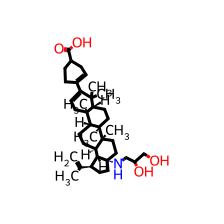 C=C(C)[C@@H]1CC[C@]2(NCC(O)CO)CC[C@]3(C)[C@H](CC[C@@H]4[C@@]5(C)CC=C(C6=CCC(C(=O)O)CC6)C(C)(C)[C@@H]5CC[C@]43C)[C@@H]12